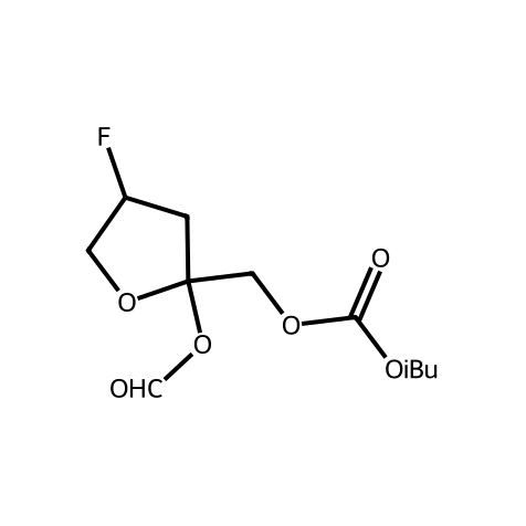 CC(C)COC(=O)OCC1(OC=O)CC(F)CO1